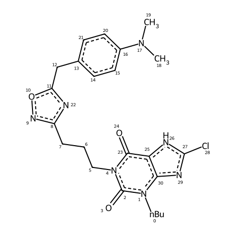 CCCCn1c(=O)n(CCCc2noc(Cc3ccc(N(C)C)cc3)n2)c(=O)c2[nH]c(Cl)nc21